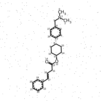 CN(C)Cc1ccc([C@H]2CC[C@H](OC(=O)C/C=C/c3ccccc3)CC2)cc1